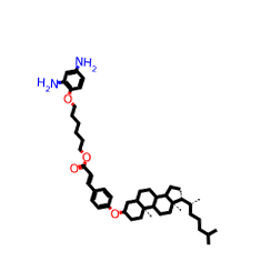 CC(C)CCC[C@@H](C)[C@H]1CCC2C3CCC4CC(Oc5ccc(C=CC(=O)OCCCCCCOc6ccc(N)cc6N)cc5)CC[C@]4(C)C3CC[C@@]21C